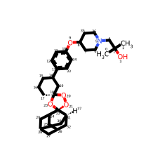 CC(C)(O)CN1CCC(Oc2ccc(C3CCC[C@]4(C3)OO[C@]3(O4)C4CC5CC(C4)C[C@@H]3C5)cc2)CC1